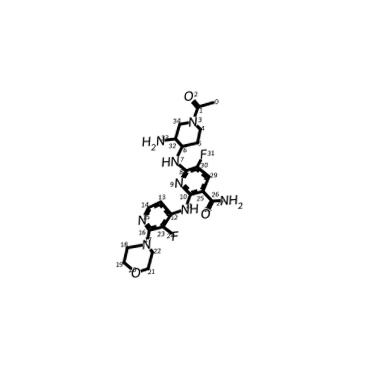 CC(=O)N1CCC(Nc2nc(Nc3ccnc(N4CCOCC4)c3F)c(C(N)=O)cc2F)C(N)C1